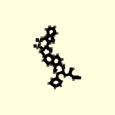 COC(=O)CC(Cc1ccccc1)Oc1ccc2cc(CN(C)C(=O)c3oc4ccccc4c3C)ccc2c1Br